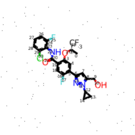 C[C@H](Oc1cc(-c2cc(CO)n(C3CC3)n2)c(F)cc1C(=O)Nc1c(F)cccc1Cl)C(F)(F)F